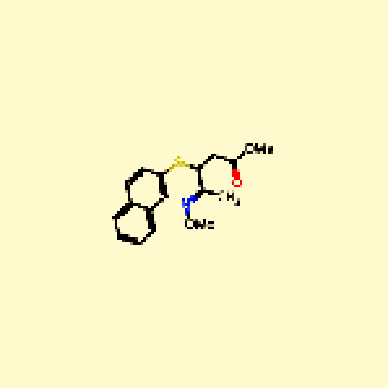 CON=C(C)C(CC(=O)OC)Sc1ccc2ccccc2c1